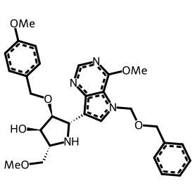 COC[C@H]1N[C@@H](c2cn(COCc3ccccc3)c3c(OC)ncnc23)[C@H](OCc2ccc(OC)cc2)[C@@H]1O